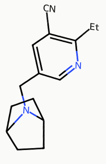 CCc1ncc(CN2C3CCC2CC3)cc1C#N